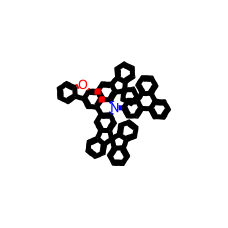 c1ccc2c(c1)-c1cccc(N(c3ccc4c5ccccc5c5ccccc5c4c3)c3cc4c(cc3-c3ccc5oc6ccccc6c5c3)-c3ccccc3C43c4ccccc4-c4ccccc43)c1C21CCCC1